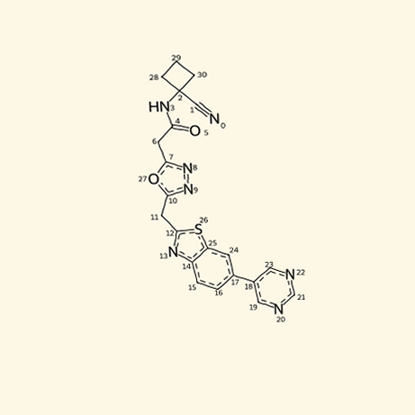 N#CC1(NC(=O)Cc2nnc(Cc3nc4ccc(-c5cncnc5)cc4s3)o2)CCC1